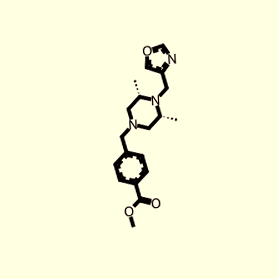 COC(=O)c1ccc(CN2C[C@@H](C)N(Cc3cocn3)[C@@H](C)C2)cc1